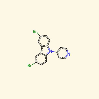 Brc1ccc2c(c1)c1cc(Br)ccc1n2-c1ccncc1